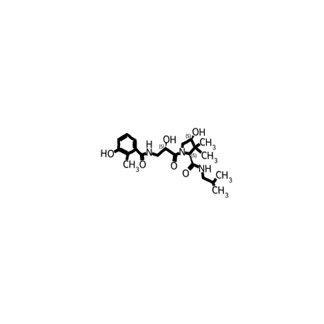 Cc1c(O)cccc1C(=O)NC[C@H](O)C(=O)N1C[C@@H](O)C(C)(C)[C@H]1C(=O)NCC(C)C